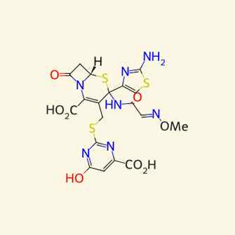 CON=CC(=O)NC1(c2csc(N)n2)S[C@H]2CC(=O)N2C(C(=O)O)=C1CSc1nc(O)cc(C(=O)O)n1